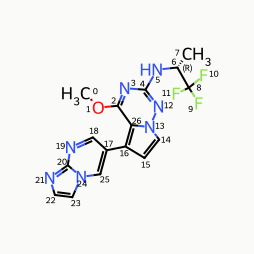 COc1nc(N[C@H](C)C(F)(F)F)nn2ccc(-c3cnc4nccn4c3)c12